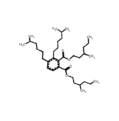 CCCC(C)CCOC(=O)c1ccc(CCCCC(C)C)c(CCCCC(C)C)c1C(=O)OCCC(C)CCC